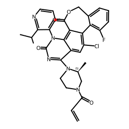 C=CC(=O)N1CCN(c2nc(=O)n(-c3c(C)ccnc3C(C)C)c3c4c(c(Cl)cc23)-c2c(F)cccc2COC4=O)[C@@H](C)C1